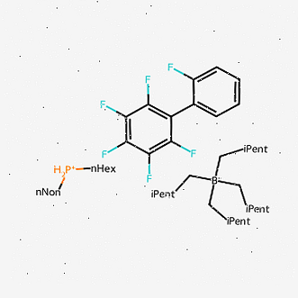 CCCC(C)C[B-](CC(C)CCC)(CC(C)CCC)CC(C)CCC.CCCCCCCCC[PH2+]CCCCCC.Fc1ccccc1-c1c(F)c(F)c(F)c(F)c1F